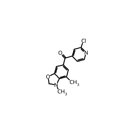 Cc1cc(C(=O)c2ccnc(Cl)c2)cc2c1N(C)CO2